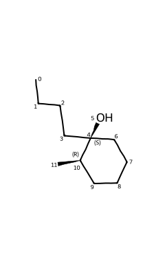 CCCC[C@]1(O)CCCC[C@H]1C